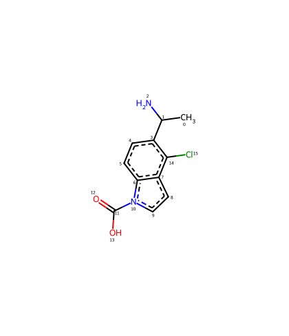 CC(N)c1ccc2c(ccn2C(=O)O)c1Cl